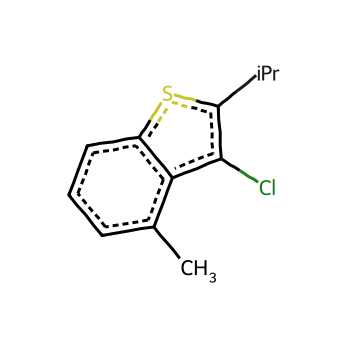 Cc1cccc2sc(C(C)C)c(Cl)c12